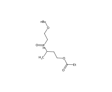 CCCCOCC[PH](=O)C(C)CCOC(=O)CC